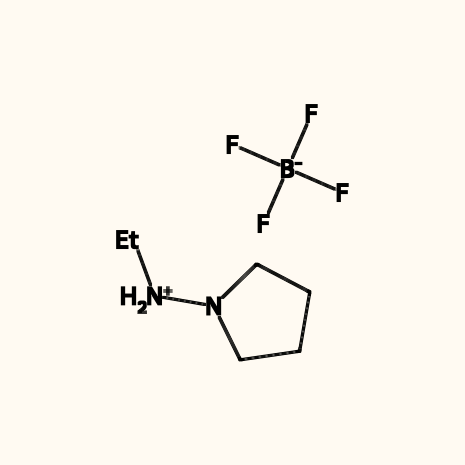 CC[NH2+]N1CCCC1.F[B-](F)(F)F